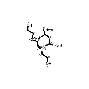 CCCCCCCC(CCCCC)OC(CCCCC)CCCCCCC.OCCOCCOCCO